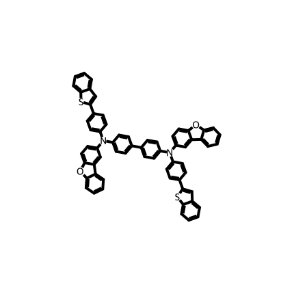 c1ccc2sc(-c3ccc(N(c4ccc(-c5ccc(N(c6ccc(-c7cc8ccccc8s7)cc6)c6ccc7oc8ccccc8c7c6)cc5)cc4)c4ccc5oc6ccccc6c5c4)cc3)cc2c1